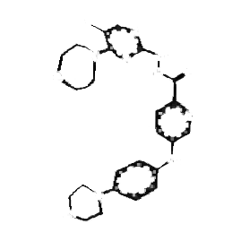 O=C(NNc1ncc(F)c(N2CCOCC2)n1)c1ccc(Nc2ccc(N3CCNCC3)cc2)cn1